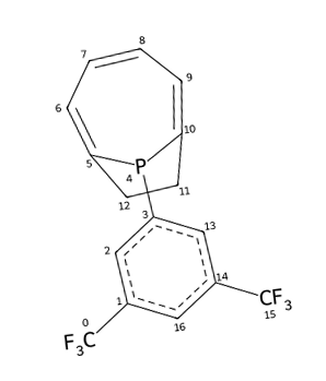 FC(F)(F)c1cc(P2C3=CC=CC=C2CC3)cc(C(F)(F)F)c1